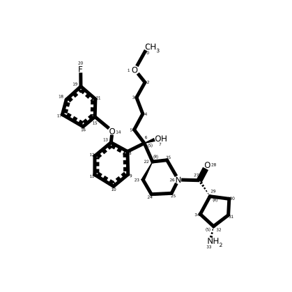 COCCCC[C@@](O)(c1ccccc1Oc1cccc(F)c1)[C@@H]1CCCN(C(=O)[C@@H]2CC[C@H](N)C2)C1